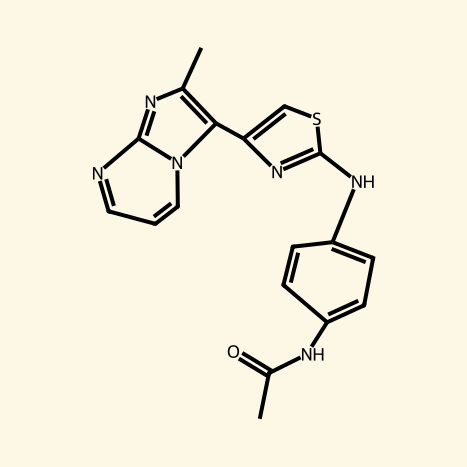 CC(=O)Nc1ccc(Nc2nc(-c3c(C)nc4ncccn34)cs2)cc1